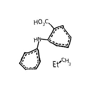 CCC.O=C(O)c1ccccc1Nc1ccccc1